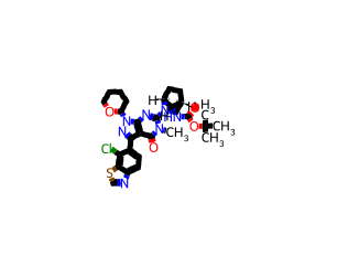 Cn1c(N2C[C@@H]3CC[C@H]2[C@H]3NC(=O)OC(C)(C)C)nc2c(c(-c3ccc4ncsc4c3Cl)nn2C2CCCCO2)c1=O